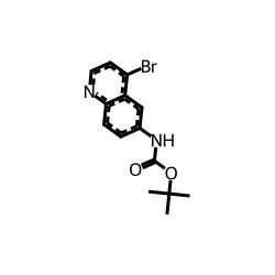 CC(C)(C)OC(=O)Nc1ccc2nccc(Br)c2c1